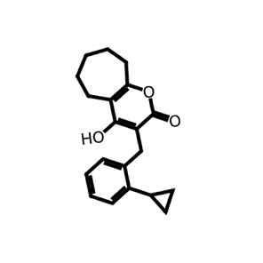 O=c1oc2c(c(O)c1Cc1ccccc1C1CC1)CCCCC2